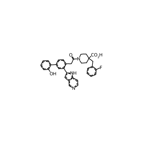 O=C(Cc1ccc(-c2ccccc2O)cc1-c1cc2cnccc2[nH]1)N1CCC(Cc2ccccc2F)(C(=O)O)CC1